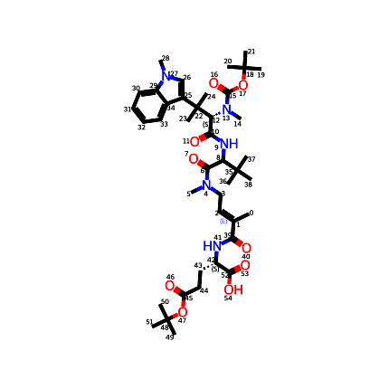 C/C(=C\CN(C)C(=O)C(NC(=O)[C@@H](N(C)C(=O)OC(C)(C)C)C(C)(C)c1cn(C)c2ccccc12)C(C)(C)C)C(=O)N[C@@H](CCC(=O)OC(C)(C)C)C(=O)O